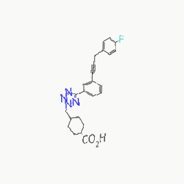 O=C(O)C1CCC(Cn2nnc(-c3cccc(C#CCc4ccc(F)cc4)c3)n2)CC1